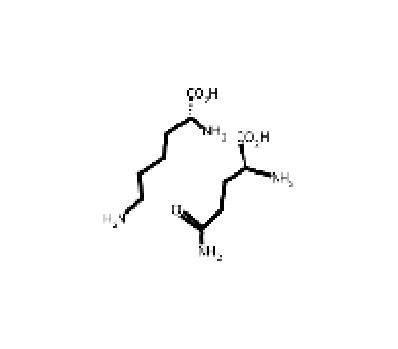 NC(=O)CC[C@H](N)C(=O)O.NCCCC[C@@H](N)C(=O)O